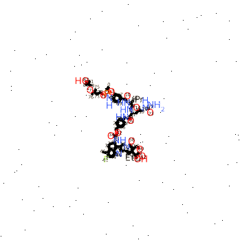 C=CP(=O)(Nc1ccc(C(=O)NC(C(=O)N[C@@H](CCCNC(N)=O)C(=O)Nc2ccc(COC(=O)N[C@H]3CCc4c(C)c(F)cc5nc6c(c3c45)Cn3c-6cc4c(c3=O)COC(=O)[C@]4(O)CC)cc2)C(C)C)cc1)OCCC(C)(C)OCC(C)(C)O